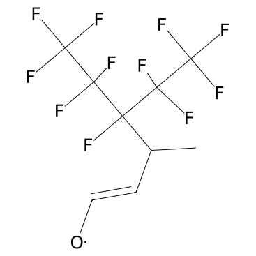 CC(C=C[O])C(F)(C(F)(F)C(F)(F)F)C(F)(F)C(F)(F)F